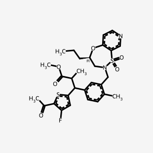 CCC[C@@H]1CN(Cc2cc(C(c3cc(F)c(C(C)=O)s3)C(C)C(=O)OC)ccc2C)S(=O)(=O)c2cnccc2O1